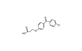 O=C(O)CCOc1ccc(C(=O)c2ccc(Cl)cc2)cc1